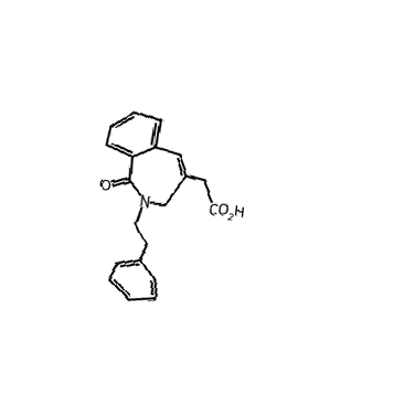 O=C(O)CC1=Cc2ccccc2C(=O)N(CCc2ccccc2)C1